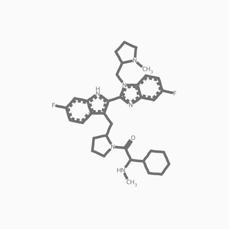 CNC(C(=O)N1CCCC1Cc1c(-c2nc3cc(F)ccc3n2CC2CCCN2C)[nH]c2cc(F)ccc12)C1CCCCC1